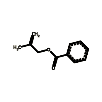 C=C(C)COC(=O)c1ccccc1